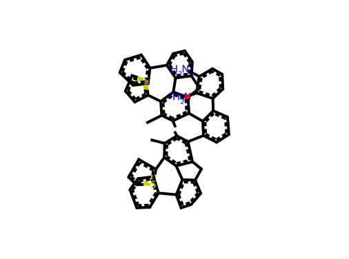 Cc1c(C)c(-c2cccs2)c2c(c1-c1cccc(-c3cccc(N)c3N)c1-c1c(C)c(C)c(-c3cccs3)c3c1Cc1cccc(-c4ccccc4)c1-3)Cc1cccc(-c3ccccc3)c1-2